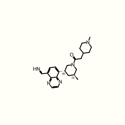 C[C@H]1C[C@H](c2ccc(C=N)c3nccnc23)CN(C(=O)CC2CCN(C)CC2)C1